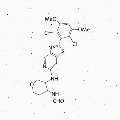 COc1cc(OC)c(Cl)c(-c2nc3cnc(NC4COCCC4NC=O)cc3s2)c1Cl